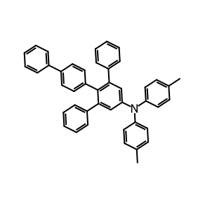 Cc1ccc(N(c2ccc(C)cc2)c2cc(-c3ccccc3)c(-c3ccc(-c4ccccc4)cc3)c(-c3ccccc3)c2)cc1